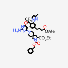 CCOC(=O)C1CC2(CCN(c3cc(O[C@H](c4ccc(CCCC(=O)OC)cc4-n4ccc(C)n4)C(F)(F)F)nc(N)n3)CC2)CN1C(=O)OCc1ccccc1